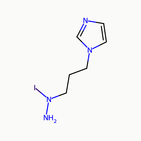 NN(I)CCCn1ccnc1